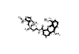 Cc1cccc2c(N)c3cccc(C(=O)NCC[N+](C)(C)Cc4c([N+](=O)[O-])ncn4C)c3nc12